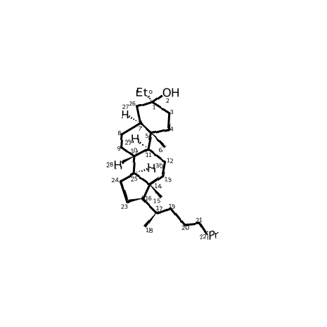 CC[C@]1(O)CC[C@@]2(C)[C@@H](CC[C@@H]3[C@@H]2CC[C@]2(C)[C@@H]([C@H](C)CCCC(C)C)CC[C@@H]32)C1